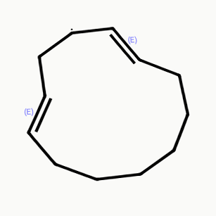 [CH]1/C=C/CCCCCC/C=C/C1